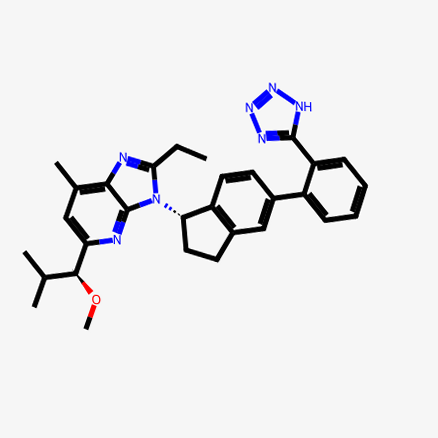 CCc1nc2c(C)cc([C@@H](OC)C(C)C)nc2n1[C@H]1CCc2cc(-c3ccccc3-c3nnn[nH]3)ccc21